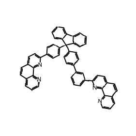 c1cc(-c2ccc(C3(c4ccc(-c5ccc6ccc7cccnc7c6n5)cc4)c4ccccc4-c4ccccc43)cc2)cc(-c2ccc3ccc4cccnc4c3n2)c1